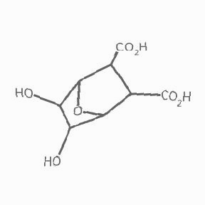 O=C(O)C1C2OC(C(O)C2O)C1C(=O)O